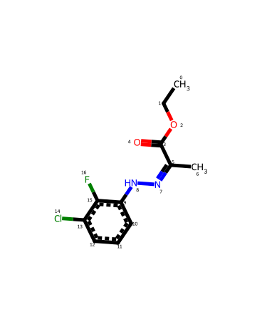 CCOC(=O)/C(C)=N\Nc1cccc(Cl)c1F